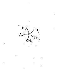 C[P](C)(C)(C)[Au]